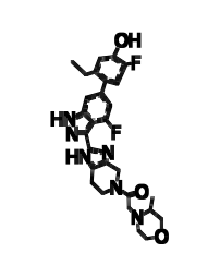 CCc1cc(O)c(F)cc1-c1cc(F)c2c(-c3nc4c([nH]3)CCN(C(=O)CN3CCOCC3C)C4)n[nH]c2c1